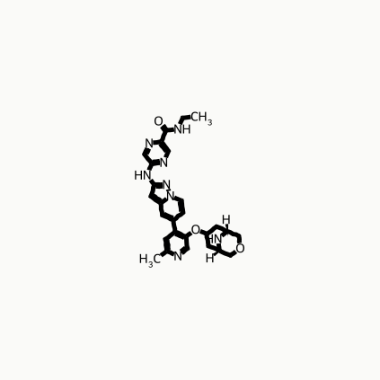 CCNC(=O)c1cnc(Nc2cc3cc(-c4cc(C)ncc4OC4C[C@H]5COC[C@@H](C4)N5)ccn3n2)cn1